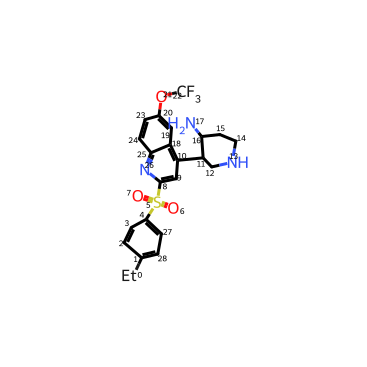 CCc1ccc(S(=O)(=O)c2cc(C3CNCCC3N)c3cc(OC(F)(F)F)ccc3n2)cc1